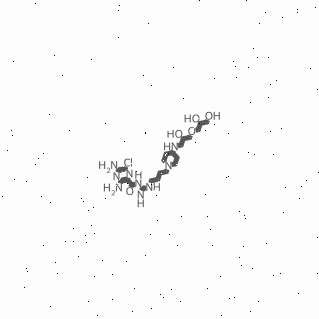 N=C(NCCCCN1CCC(NC[C@H](O)COC[C@H](O)CO)CC1)NC(=O)c1nc(Cl)c(N)nc1N